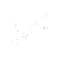 Cc1ccc(C)c(-c2nn3ccc(C(=O)N(CCC(C)C)CCC(C)C)cc3c2C#CCN2CCCCC2)c1